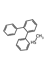 CS.c1ccc(-c2ccccc2-c2ccccc2)cc1